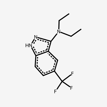 CCN(CC)c1n[nH]c2ccc(C(F)(F)F)cc12